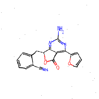 N#Cc1ccccc1CC1OC(=O)c2c(-c3ccco3)nc(N)nc21